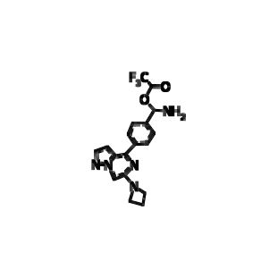 NC(OC(=O)C(F)(F)F)c1ccc(-c2nc(N3CCC3)cn3nccc23)cc1